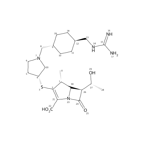 C[C@H]1C(S[C@@H]2CCN(C[C@H]3CC[C@H](CNC(=N)N)CC3)C2)=C(C(=O)O)N2C(=O)[C@H]([C@@H](C)O)C12